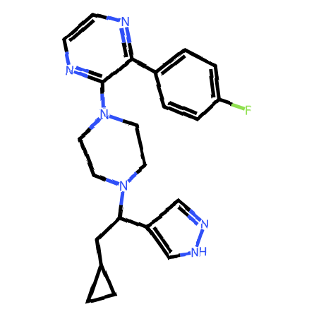 Fc1ccc(-c2nccnc2N2CCN(C(CC3CC3)c3cn[nH]c3)CC2)cc1